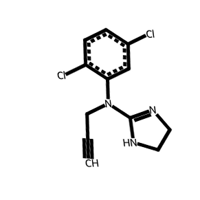 C#CCN(C1=NCCN1)c1cc(Cl)ccc1Cl